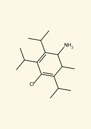 CC(C)C1=C(C(C)C)C(N)C(C)C(C(C)C)=C1Cl